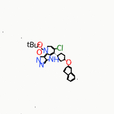 CC(C)(C)OC(=O)N1CC=C(Cl)C([C@H]2CC[C@H](Oc3ccc4ccccc4c3)CC2)=c2[nH]c3c(c21)CN=NC=3